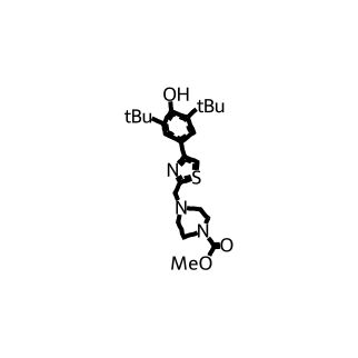 COC(=O)N1CCN(Cc2nc(-c3cc(C(C)(C)C)c(O)c(C(C)(C)C)c3)cs2)CC1